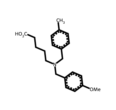 COc1ccc(CN(CCCCC(=O)O)Cc2ccc(C)cc2)cc1